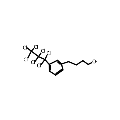 [O]CCCCc1cccc(C(Cl)(Cl)C(Cl)(Cl)C(Cl)(Cl)Cl)c1